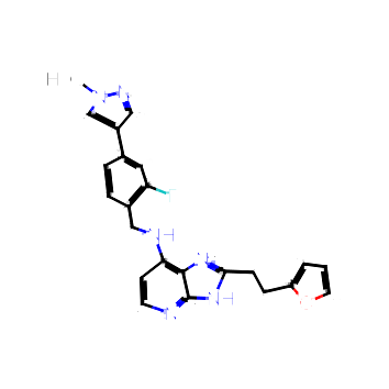 Cn1cc(-c2ccc(CNc3ccnc4[nH]c(CCc5ccco5)nc34)c(F)c2)cn1